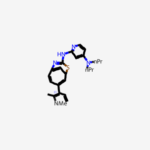 C=C/C(C1=CC2C=C(C=C1)N=C(Nc1cc(N(CCC)CCC)ccn1)S2)=C(/C)NC